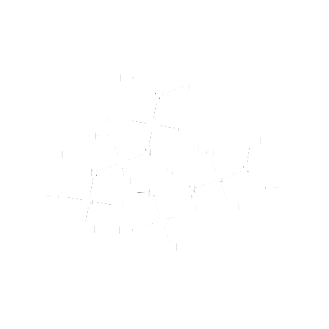 CN(C)[Si](C)(C)N(C)[Si](C)(N(C)[Si](C)(C)C)N([Si](C)(C)N(C)C)[Si](C)(C)N(C)[Si](C)(C)C